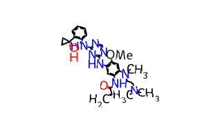 C=CC(=O)Nc1cc(Nc2ncnc(Nc3ccccc3C3(O)CC3)n2)c(OC)cc1N(C)CCN(C)C